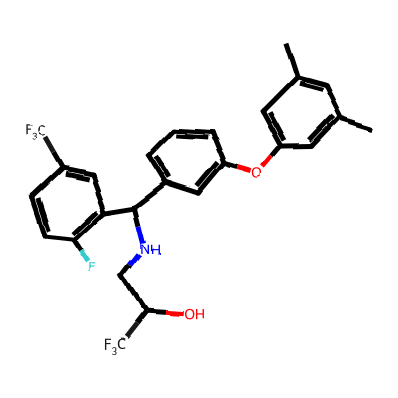 Cc1cc(C)cc(Oc2cccc(C(NCC(O)C(F)(F)F)c3cc(C(F)(F)F)ccc3F)c2)c1